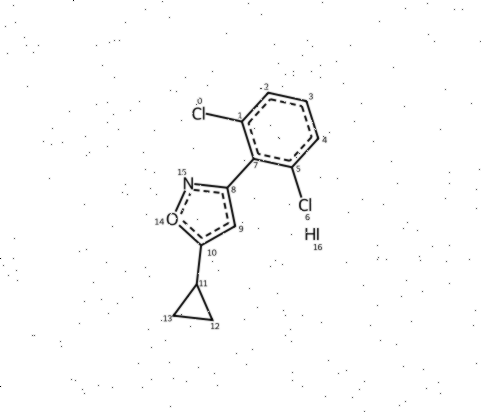 Clc1cccc(Cl)c1-c1cc(C2CC2)on1.I